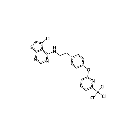 Clc1csc2ncnc(NCCc3ccc(Oc4cccc(C(Cl)(Cl)Cl)n4)cc3)c12